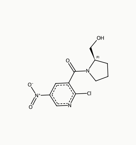 O=C(c1cc([N+](=O)[O-])cnc1Cl)N1CCC[C@@H]1CO